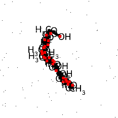 Cc1cc(C(=O)OCCCCO)cc(N2C(=O)c3ccc(C(c4ccc5c(c4)C(=O)N(c4c(C)cc(C)c(N6C(=O)c7ccc(C(c8ccc9c(c8)C(=O)N(c8ccc(-c%10ccc(N%11C(=O)c%12ccc(C(c%13ccc%14c(c%13)C(=O)N(C)C%14=O)(C(F)(F)F)C(F)(F)F)cc%12C%11=O)c(O)c%10)cc8O)C9=O)(C(F)(F)F)C(F)(F)F)cc7C6=O)c4C)C5=O)(C(F)(F)F)C(F)(F)F)cc3C2=O)c1